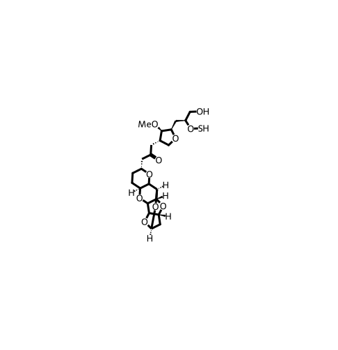 CO[C@@H]1[C@@H](CC(=O)C[C@H]2CC[C@@H]3OC4C5O[C@@H]6C[C@H]5O[C@H]4[C@@H](O6)C3O2)CO[C@@H]1C[C@@H](CO)OS